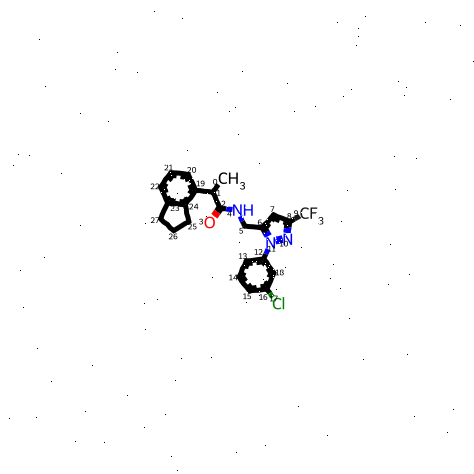 CC(C(=O)NCc1cc(C(F)(F)F)nn1-c1cccc(Cl)c1)c1cccc2c1CCC2